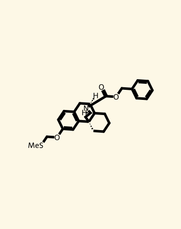 CSCOc1ccc2c(c1)[C@]13CCCC[C@@H]1[C@H](C2)N(C(=O)OCc1ccccc1)CC3